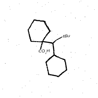 CC(C)(C)C(C1CCCCC1)C1(C(=O)O)[CH]CCCC1